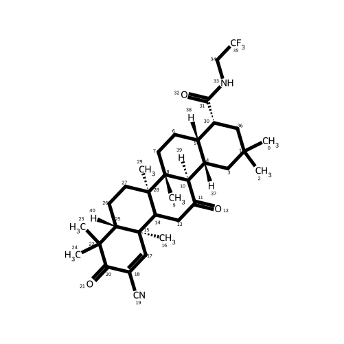 CC1(C)C[C@H]2[C@H](CC[C@]3(C)[C@@H]2C(=O)CC2[C@@]4(C)C=C(C#N)C(=O)C(C)(C)[C@@H]4CC[C@]23C)[C@H](C(=O)NCC(F)(F)F)C1